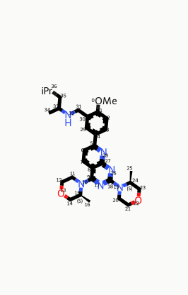 COc1ccc(-c2ccc3c(N4CCOC[C@@H]4C)nc(N4CCOC[C@@H]4C)nc3n2)cc1CNC(C)CC(C)C